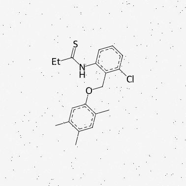 CCC(=S)Nc1cccc(Cl)c1COc1cc(C)c(C)cc1C